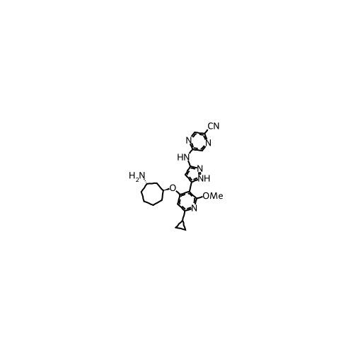 COc1nc(C2CC2)cc(O[C@H]2CCCC[C@H](N)C2)c1-c1cc(Nc2cnc(C#N)cn2)n[nH]1